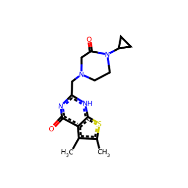 Cc1sc2[nH]c(CN3CCN(C4CC4)C(=O)C3)nc(=O)c2c1C